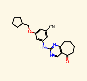 N#Cc1cc(Nc2ncc3c(n2)CCCCC3=O)cc(OCC2CCCC2)c1